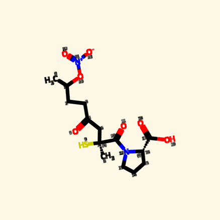 CC(CCC(=O)C[C@](C)(S)C(=O)N1CCC[C@H]1C(=O)O)O[N+](=O)[O-]